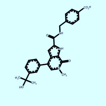 Cn1cc(-c2cccc(C(C)(C)O)c2)c2cc(C(=O)NCc3ccc(C(=O)O)cc3)[nH]c2c1=O